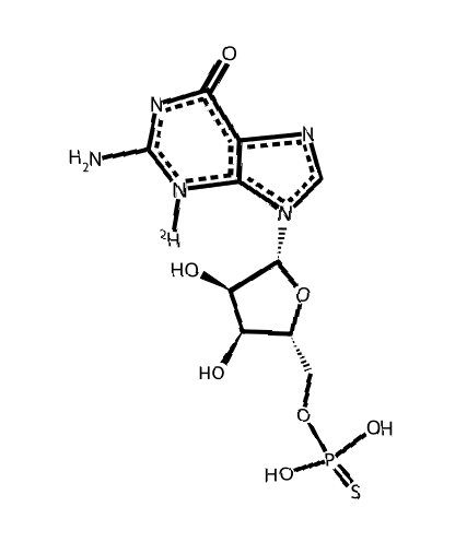 [2H]n1c(N)nc(=O)c2ncn([C@@H]3O[C@H](COP(O)(O)=S)[C@@H](O)[C@H]3O)c21